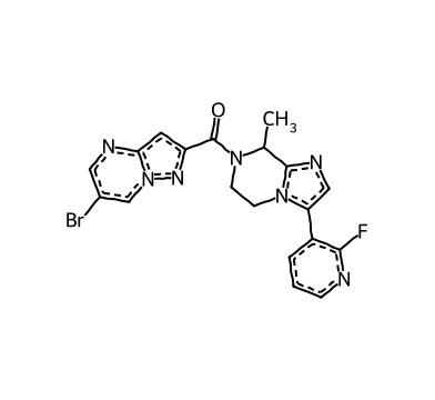 CC1c2ncc(-c3cccnc3F)n2CCN1C(=O)c1cc2ncc(Br)cn2n1